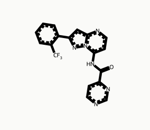 O=C(Nc1ccnc2cc(-c3ccccc3C(F)(F)F)nn12)c1ccncn1